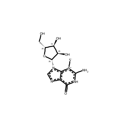 Nc1[nH]c(=O)c2ncn([C@@H]3O[C@H](CO)[C@@H](O)[C@H]3O)c2[n+]1[S-]